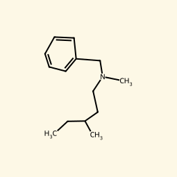 CCC(C)CCN(C)Cc1ccccc1